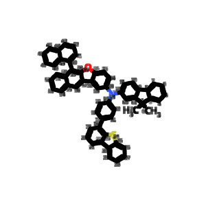 CC1(C)c2ccccc2-c2ccc(N(c3ccc(-c4cccc5c4sc4ccccc45)cc3)c3ccc4oc5c(-c6cccc7ccccc67)c6ccccc6cc5c4c3)cc21